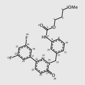 COCCCOC(=O)Nc1cccc(Cn2nc(-c3cc(F)cc(F)c3)ccc2=O)c1